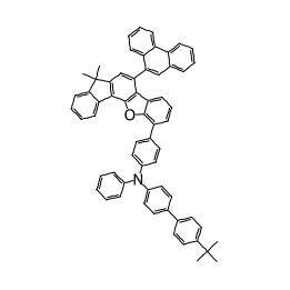 CC(C)(C)c1ccc(-c2ccc(N(c3ccccc3)c3ccc(-c4cccc5c4oc4c6c(cc(-c7cc8ccccc8c8ccccc78)c45)C(C)(C)c4ccccc4-6)cc3)cc2)cc1